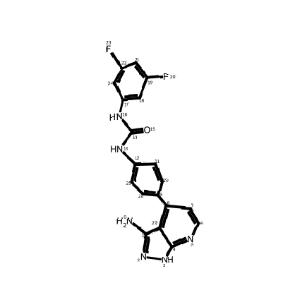 Nc1n[nH]c2nccc(-c3ccc(NC(=O)Nc4cc(F)cc(F)c4)cc3)c12